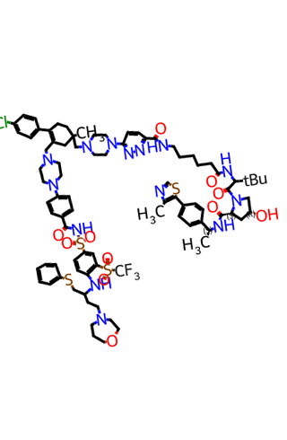 Cc1ncsc1-c1ccc([C@H](C)NC(=O)[C@@H]2C[C@@H](O)CN2C(=O)C(NC(=O)CCCCCNC(=O)c2ccc(N3CCN(CC4(C)CCC(c5ccc(Cl)cc5)=C(CN5CCN(c6ccc(C(=O)NS(=O)(=O)c7ccc(NC(CCN8CCCOCC8)CSc8ccccc8)c(S(=O)(=O)C(F)(F)F)c7)cc6)CC5)C4)CC3)nn2)C(C)(C)C)cc1